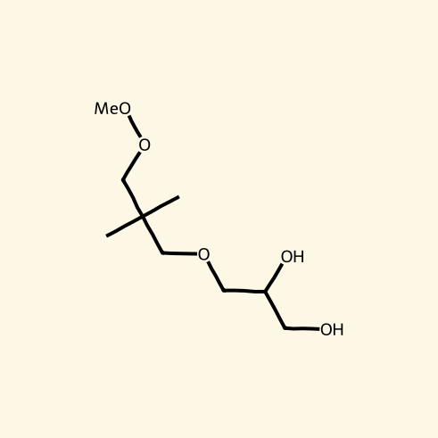 COOCC(C)(C)COCC(O)CO